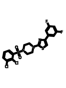 O=S(=O)(c1cccc(Cl)c1Cl)N1CCN(c2nc(-c3cc(F)cc(F)c3)cs2)CC1